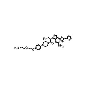 COCCOCCOc1ccc(N2CCN(C(=O)C(CC(C)C)n3ncc4c3nc(N)n3nc(-c5ccco5)nc43)CC2)cc1